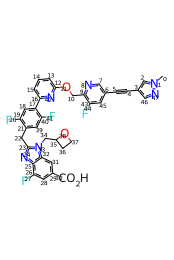 Cn1cc(C#Cc2cnc(COc3cccc(-c4cc(F)c(Cc5nc6c(F)cc(C(=O)O)cc6n5CC5CCO5)cc4F)n3)c(F)c2)cn1